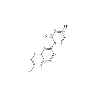 Cc1ccc2cc(-n3ccc(O)cc3=O)ccc2n1